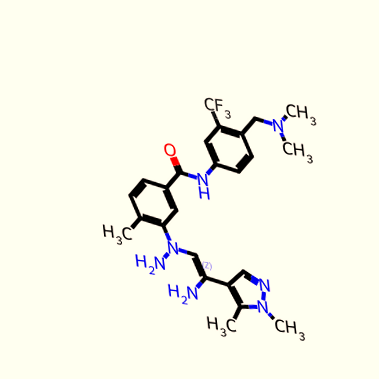 Cc1ccc(C(=O)Nc2ccc(CN(C)C)c(C(F)(F)F)c2)cc1N(N)/C=C(\N)c1cnn(C)c1C